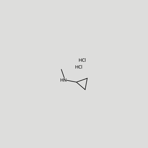 CNC1CC1.Cl.Cl